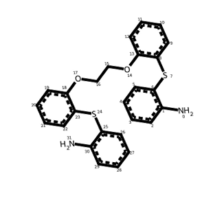 Nc1ccccc1Sc1ccccc1OCCOc1ccccc1Sc1ccccc1N